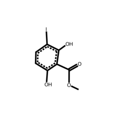 COC(=O)c1c(O)ccc(I)c1O